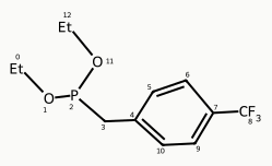 CCOP(Cc1ccc(C(F)(F)F)cc1)OCC